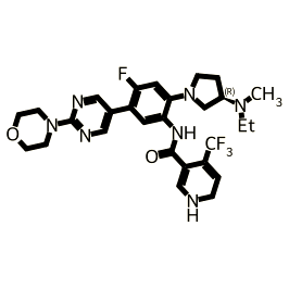 CCN(C)[C@@H]1CCN(c2cc(F)c(-c3cnc(N4CCOCC4)nc3)cc2NC(=O)C2=CNCC=C2C(F)(F)F)C1